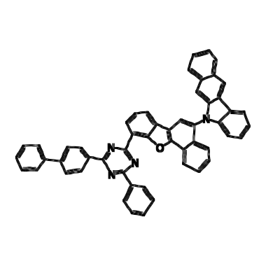 c1ccc(-c2ccc(-c3nc(-c4ccccc4)nc(-c4cccc5c4oc4c6ccccc6c(-n6c7ccccc7c7cc8ccccc8cc76)cc54)n3)cc2)cc1